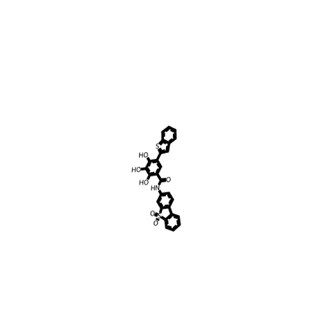 O=C(Nc1ccc2c(c1)S(=O)(=O)c1ccccc1-2)c1cc(-c2cc3ccccc3s2)c(O)c(O)c1O